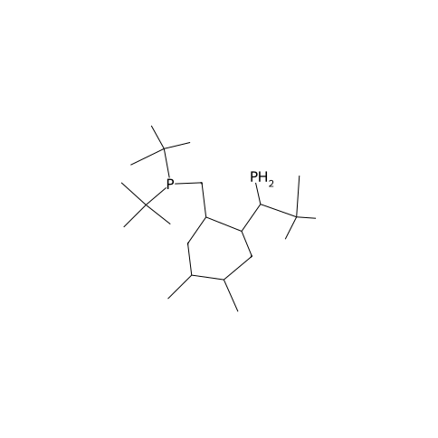 CC1CC(CP(C(C)(C)C)C(C)(C)C)C(C(P)C(C)(C)C)CC1C